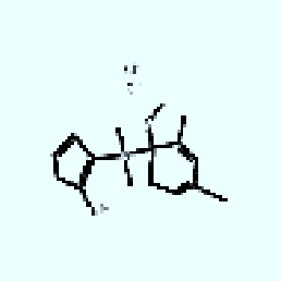 CSC1([Si](C)(C)C2=[C]([Ti+2])CC=C2)CC=C(C)C=C1C.[Cl-].[Cl-]